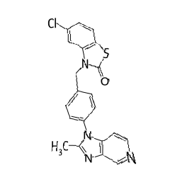 Cc1nc2cnccc2n1-c1ccc(Cn2c(=O)sc3ccc(Cl)cc32)cc1